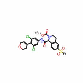 CCS(=O)(=O)c1ccc2c(c1)CCN(C(=O)OC(C)(C)C)C2C(=O)Nc1cc(Cl)c(C2=CCOCC2)c(Cl)c1